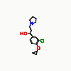 OC(CCN1CCCC1)c1ccc(OC2CC2)c(Cl)c1